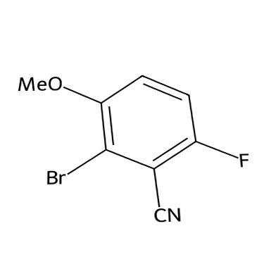 COc1ccc(F)c(C#N)c1Br